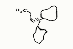 CCO[SiH](C1CCCCC1)C1CCCCC1